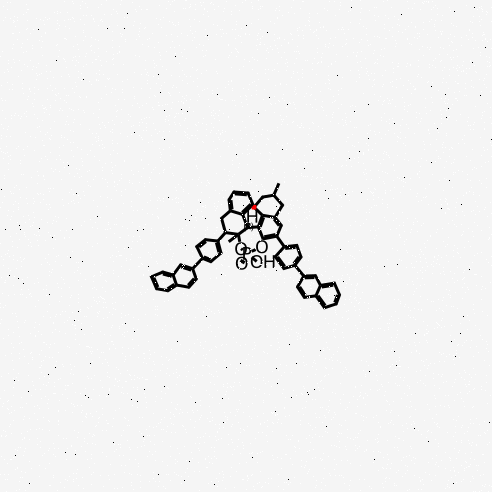 CC1CCc2c(cc(-c3ccc(-c4ccc5ccccc5c4)cc3)c3c2[C@H]2c4ccccc4CC(c4ccc(-c5ccc6ccccc6c5)cc4)C2(C)OP(=O)(O)O3)C1